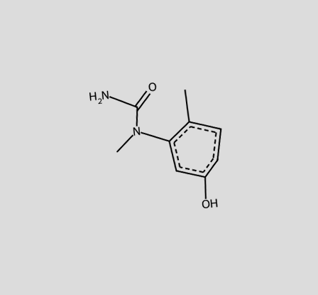 Cc1ccc(O)cc1N(C)C(N)=O